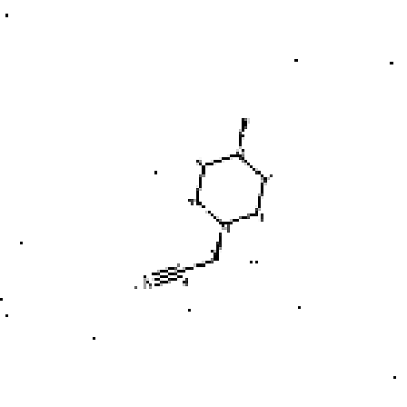 C[C@H]1CC[C@@H](CC#N)CC1